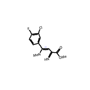 CN/C(=C\C(=N)C(=O)OC)c1ccc(F)c(Cl)c1